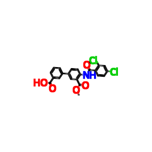 COC(=O)c1cc(-c2cccc(C(=O)O)c2)ccc1NC(=O)c1ccc(Cl)cc1Cl